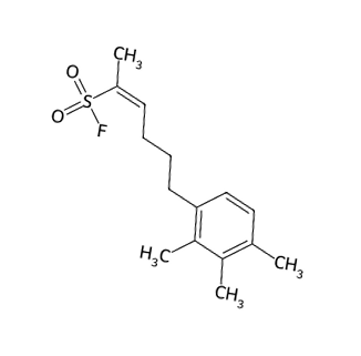 C/C(=C/CCCc1ccc(C)c(C)c1C)S(=O)(=O)F